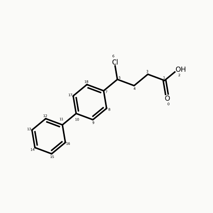 O=C(O)CCC(Cl)c1ccc(-c2ccccc2)cc1